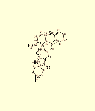 O=C1NC2(CCNCC2)C(=O)N1CC(O)CN1c2ccccc2Sc2ccc(C(F)(F)F)cc21